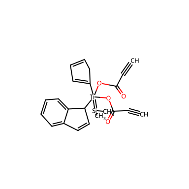 C#CC(=O)[O][Ti]([O]C(=O)C#C)([C]1=CC=CC1)([CH]1C=Cc2ccccc21)=[Si](C)C